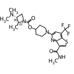 CNC(=O)c1csc2c(C(F)(F)F)cc(N3CCC(OC(=O)N4C[C@@H](N(C)C)[C@@H]4C)CC3)nc12